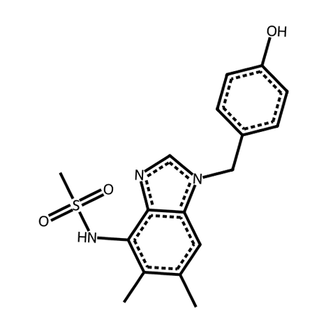 Cc1cc2c(ncn2Cc2ccc(O)cc2)c(NS(C)(=O)=O)c1C